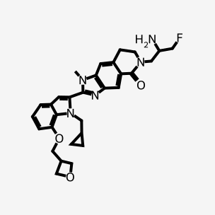 Cn1c(-c2cc3cccc(OCC4COC4)c3n2CC2CC2)nc2cc3c(cc21)CCN(CC(N)CF)C3=O